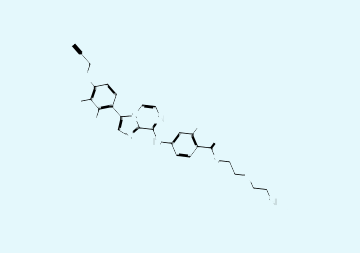 C#CCOc1ccc(-c2cnc3c(Nc4ccc(C(=O)NCCOCCN)c(CC)c4)nccn23)c(F)c1F